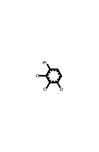 C[C](C)c1ccc(Cl)c(Cl)c1Cl